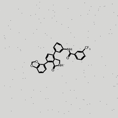 O=C(Nc1cccc(-c2ccc(-c3cccc4c3OCO4)c3c2CNC3=O)c1)c1cccc(C(F)(F)F)c1